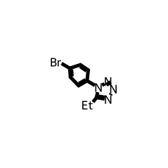 CCc1nnnn1-c1ccc(Br)cc1